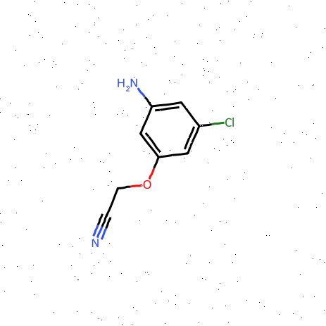 N#CCOc1cc(N)cc(Cl)c1